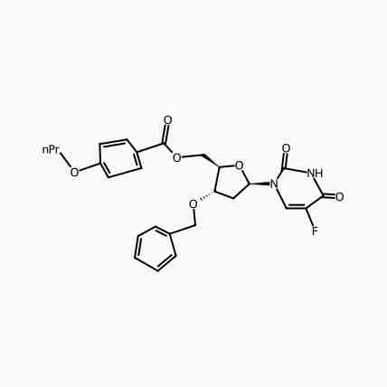 CCCOc1ccc(C(=O)OC[C@H]2O[C@@H](n3cc(F)c(=O)[nH]c3=O)C[C@@H]2OCc2ccccc2)cc1